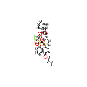 CCCCOc1ccc(S2(OS(=O)(=O)C(F)(F)COC(=O)C34CC5CC(CC(C5)C3)C4)CCCC2)c2ccccc12